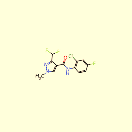 Cn1cc(C(=O)Nc2ccc(F)cc2Cl)c(C(F)F)n1